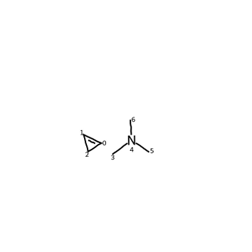 C1=CC1.CN(C)C